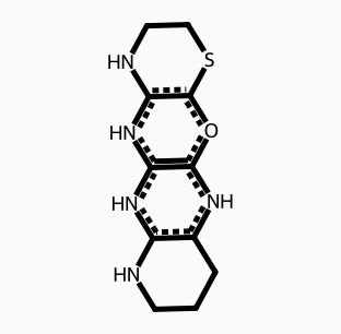 C1CNc2[nH]c3[nH]c4c(oc=3[nH]c2C1)SCCN4